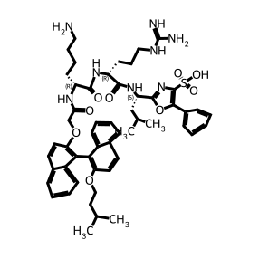 CC(C)CCOc1ccc2ccccc2c1-c1c(OCC(=O)N[C@H](CCCCN)C(=O)N[C@H](CCCNC(=N)N)C(=O)N[C@@H](CC(C)C)c2nc(S(=O)(=O)O)c(-c3ccccc3)o2)ccc2ccccc12